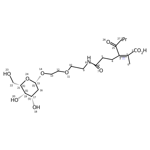 C/C(C(=O)O)=C(\CCC(=O)NCCOCCO[C@@H]1C[C@H](O)[C@H](O)[C@H](CO)O1)C(=O)C(C)C